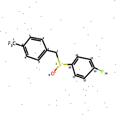 [O-][S+](Cc1ccc(C(F)(F)F)cc1)c1ccc(F)cc1